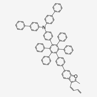 C=C/C=C\c1c(C)oc2cc(-c3ccc(-c4c(-c5ccccc5)c(-c5ccccc5)c(-c5ccc(N(c6ccc(-c7ccccc7)cc6)c6ccc(-c7ccccc7)cc6)cc5)c(-c5ccccc5)c4-c4ccccc4)cc3)ccc12